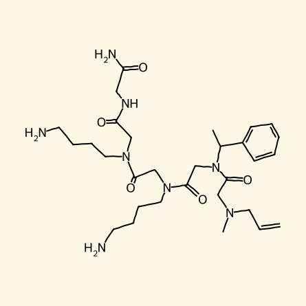 C=CCN(C)CC(=O)N(CC(=O)N(CCCCN)CC(=O)N(CCCCN)CC(=O)NCC(N)=O)C(C)c1ccccc1